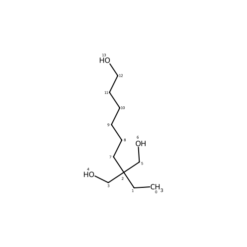 CCC(CO)(CO)CCCCCCO